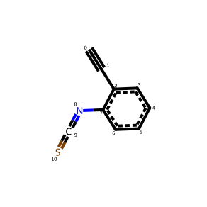 C#Cc1ccccc1N=C=S